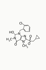 CN1C(=O)c2c(nc(S(=O)(=O)CC3CC3)n2C)N(Cc2ccccc2Cl)C1O